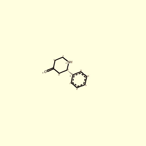 O=C1CCN[C@H](c2ccccc2)C1